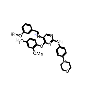 COc1cc(C)ccc1Oc1nc(Nc2ccc(N3CCOCC3)cc2)ncc1/N=C/c1cccc(OC(C)C)c1